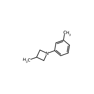 Cc1cccc(N2CC(C)C2)c1